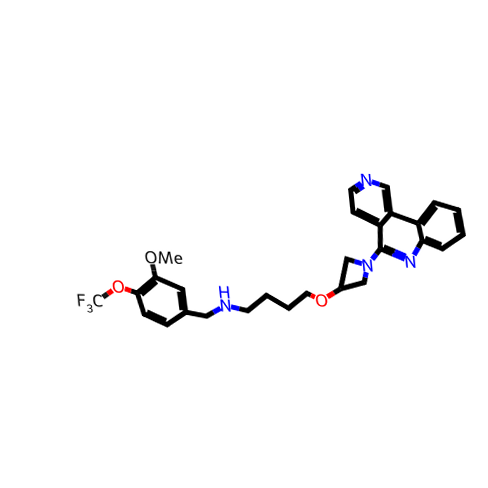 COc1cc(CNCCCCOC2CN(c3nc4ccccc4c4cnccc34)C2)ccc1OC(F)(F)F